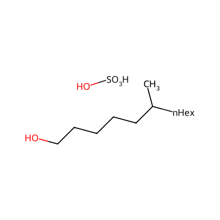 CCCCCCC(C)CCCCCO.O=S(=O)(O)O